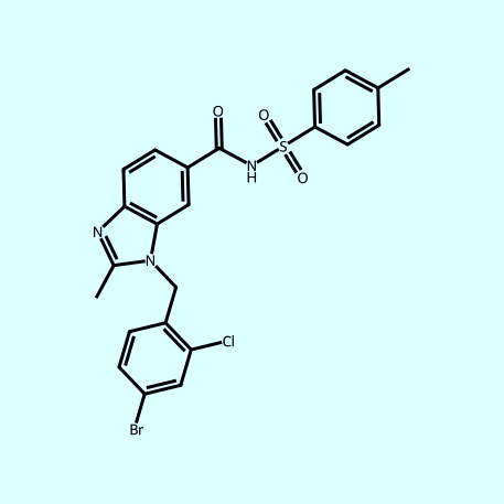 Cc1ccc(S(=O)(=O)NC(=O)c2ccc3nc(C)n(Cc4ccc(Br)cc4Cl)c3c2)cc1